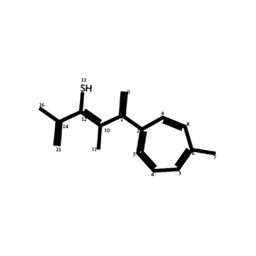 C=C(C1=C=CC=C(C)C=C1)/C(C)=C(\S)C(=C)C